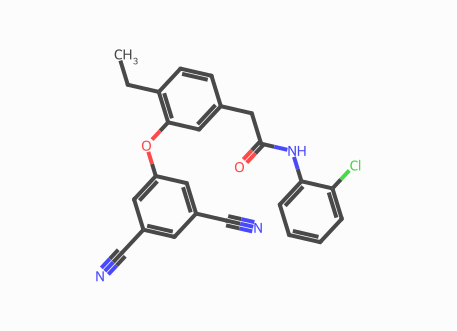 CCc1ccc(CC(=O)Nc2ccccc2Cl)cc1Oc1cc(C#N)cc(C#N)c1